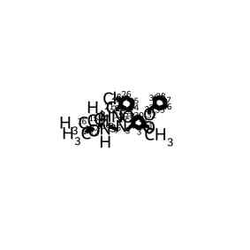 COc1cc(CN(CCNC(=O)OC(C)(C)C)C(=O)NC(C)c2ccccc2Cl)ccc1OCc1ccccc1